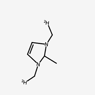 [2H]CN1C=CN(C[2H])C1C